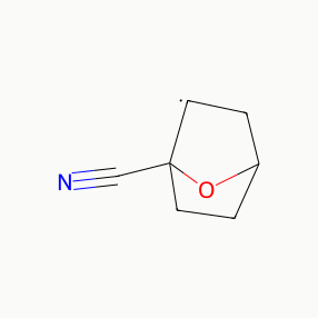 N#CC12[CH]CC(CC1)O2